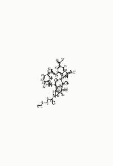 C=CCCCC(=O)NC[C@@]12C[C@@H](C(=O)Nc3nc(C(F)(F)F)ccc3C)N(C(=O)Cn3nc(C(C)=O)c4cc(C(=C)C)cc(CC=C)c43)[C@@H]1C2